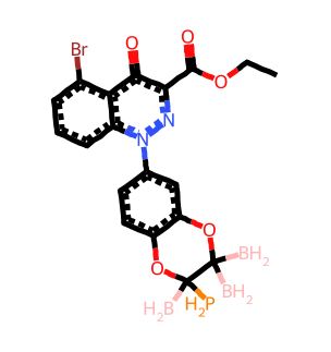 BC1(B)Oc2cc(-n3nc(C(=O)OCC)c(=O)c4c(Br)cccc43)ccc2OC1(B)P